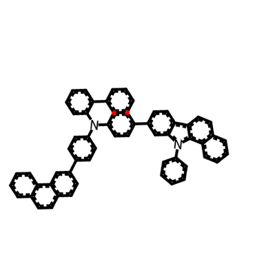 c1ccc(-c2ccccc2N(c2ccc(-c3ccc4ccc5ccccc5c4c3)cc2)c2ccc(-c3ccc4c5ccc6ccccc6c5n(-c5ccccc5)c4c3)cc2)cc1